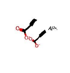 C#CC(=O)[O-].C#CC(=O)[O-].[Al+2]